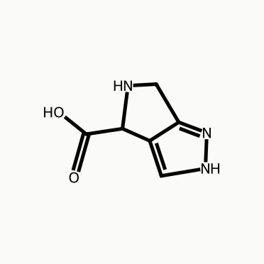 O=C(O)C1NCc2n[nH]cc21